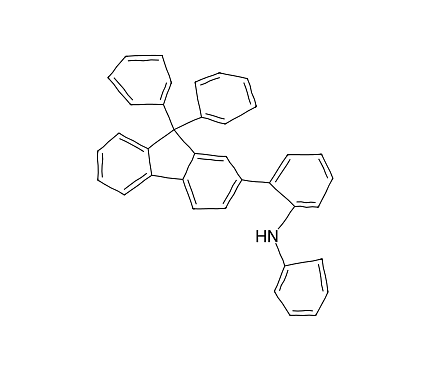 c1ccc(Nc2ccccc2-c2ccc3c(c2)C(c2ccccc2)(c2ccccc2)c2ccccc2-3)cc1